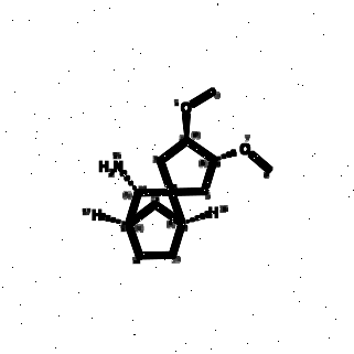 CO[C@@H]1CC2(C[C@H]1OC)[C@H]1CC[C@H](C1)[C@@H]2N